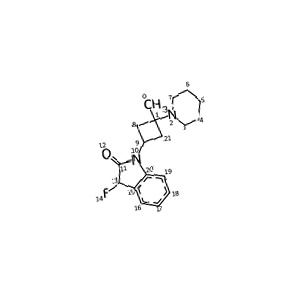 CC1(N2CCCCC2)CC(N2C(=O)C(F)c3ccccc32)C1